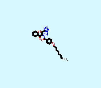 C=CCCCCCCOc1ccc(C(=O)Nc2c(-c3nnn[nH]3)oc3ccccc3c2=O)cc1